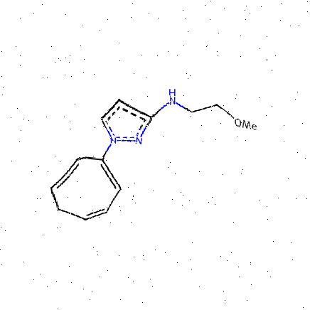 COCCNc1ccn(C2=CC=CCC=C2)n1